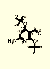 CC(C)(C)Oc1nc(N)nc(OC(C)(C)C)c1C=O